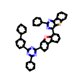 c1ccc(-c2cccc(-c3nc(-c4ccccc4)nc(-c4ccc5c(c4)oc4c(-c6nc(-c7ccccc7)nc7c6sc6ccccc67)cccc45)n3)c2)cc1